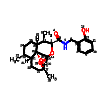 C[C@H]1[C@H](C(=O)NCc2ccccc2O)O[C@@H]2O[C@@]3(C)CC[C@H]4[C@H](C)CC[C@@H]1[C@@]24OO3